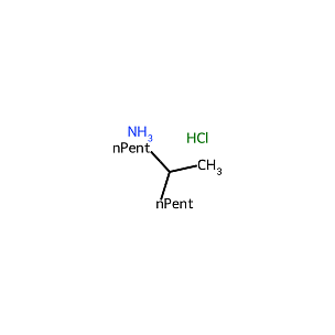 CCCCCC(C)CCCCC.Cl.N